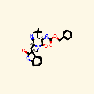 CN(C(=O)OCc1ccccc1)[C@@H](CC(C)(C)C)C(=O)N1C[C@]2(C[C@H]1C#N)C(=O)Nc1ccccc12